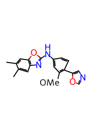 COc1cc(Nc2nc3cc(C)c(C)cc3o2)ccc1-c1cnco1